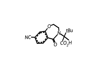 CC(C)(C)C(C)(C(=O)O)N1CCOc2cc(C#N)ccc2C1=O